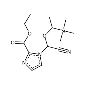 CCOC(=O)c1nccn1C(C#N)OC(C)[Si](C)(C)C